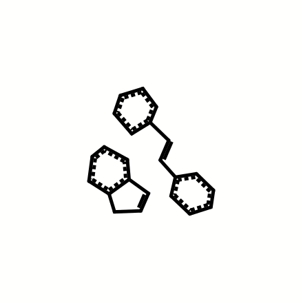 C(=Cc1ccccc1)c1ccccc1.C1=Cc2ccccc2C1